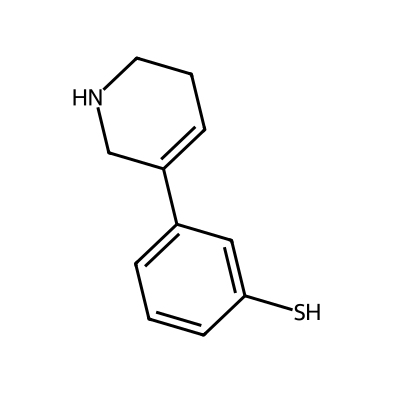 Sc1cccc(C2=CCCNC2)c1